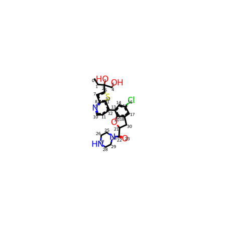 CCC(O)(CO)c1cc2nccc(-c3cc(Cl)cc4c3OC(C(=O)N3CCNCC3)C4)c2s1